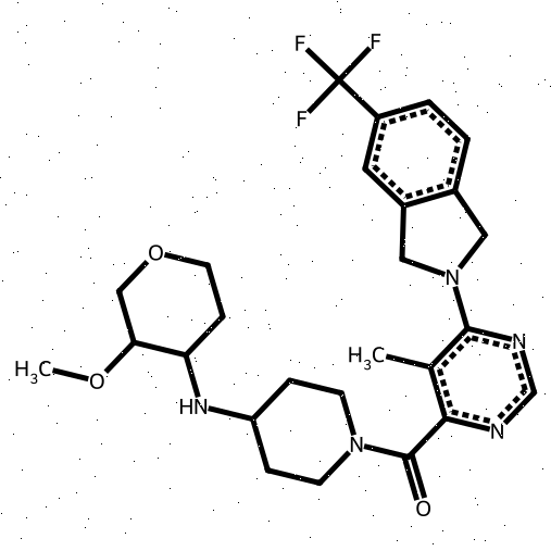 COC1COCCC1NC1CCN(C(=O)c2ncnc(N3Cc4ccc(C(F)(F)F)cc4C3)c2C)CC1